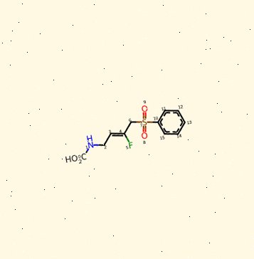 O=C(O)NCC=C(F)CS(=O)(=O)c1ccccc1